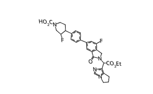 CCOC(=O)C(c1ncn2c1CCC2)N1Cc2c(F)cc(-c3ccc(C4CCN(C(=O)O)CC4F)cc3)cc2C1=O